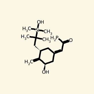 C=C1[C@H](CC(C)(C)[Si](C)(C)O)C/C(=C\C(=O)P)C[C@H]1O